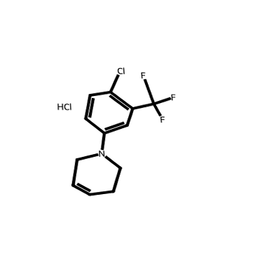 Cl.FC(F)(F)c1cc(N2CC=CCC2)ccc1Cl